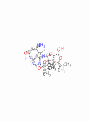 CC(C)C(=O)OC1C(CO)OC(n2cc3c4c(ncnc42)NC(=O)C=C3N)C1(C)OC(=O)C(C)C